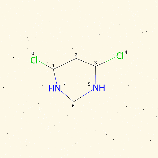 ClC1CC(Cl)NCN1